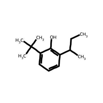 CCC(C)c1cccc(C(C)(C)C)c1O